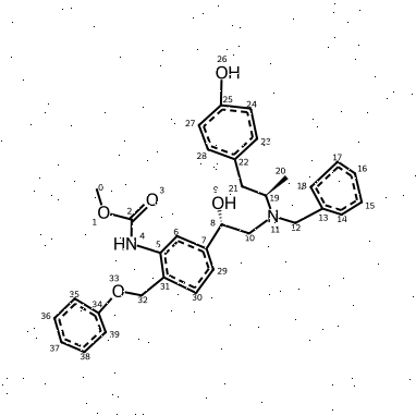 COC(=O)Nc1cc([C@H](O)CN(Cc2ccccc2)[C@H](C)Cc2ccc(O)cc2)ccc1COc1ccccc1